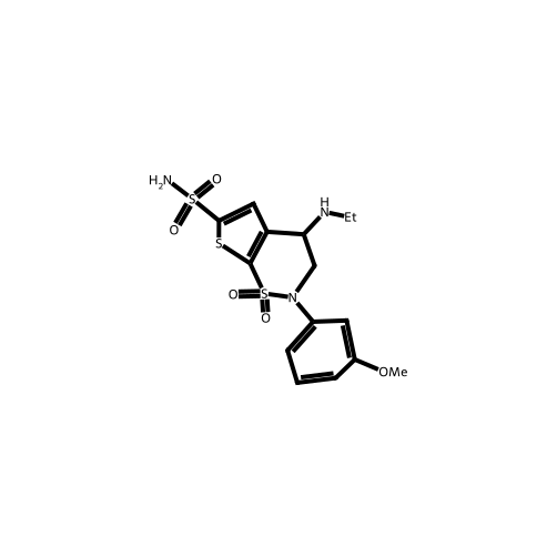 CCNC1CN(c2cccc(OC)c2)S(=O)(=O)c2sc(S(N)(=O)=O)cc21